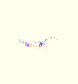 COc1ccc(C2=CN3C(=O)c4cc(OC)c(OCCCCCOc5cc6c(cc5OC)C(=O)N5C=C(c7ccc(CN)cc7)CC5C=N6)cc4N=CC3C2)cc1